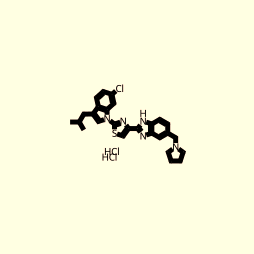 CC(C)Cc1cn(-c2nc(-c3nc4cc(CN5CCCC5)ccc4[nH]3)cs2)c2cc(Cl)ccc12.Cl.Cl